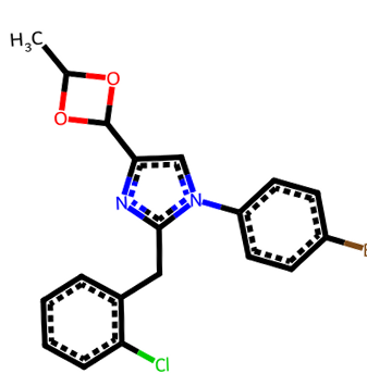 CC1OC(c2cn(-c3ccc(Br)cc3)c(Cc3ccccc3Cl)n2)O1